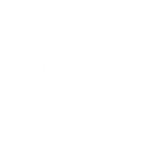 NCc1c(F)c(F)cc2ccccc12